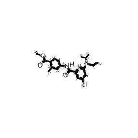 CCN(c1cc(Cl)cc(C(=O)Nc2ccc(C(=O)OC)c(C)c2)n1)C(C)C